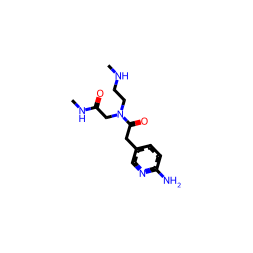 CNCCN(CC(=O)NC)C(=O)Cc1ccc(N)nc1